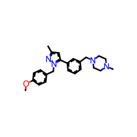 COc1ccc(Cn2nc(C)cc2-c2cccc(CN3CCN(C)CC3)c2)cc1